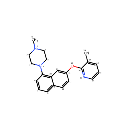 CN1CCN(c2cccc3ccc(Oc4ncccc4C#N)cc23)CC1